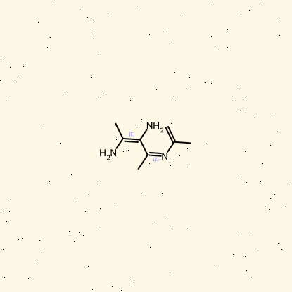 C=C(C)/N=C(C)\C(N)=C(\C)N